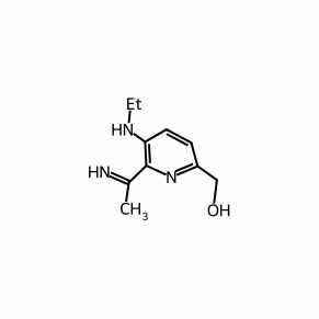 CCNc1ccc(CO)nc1C(C)=N